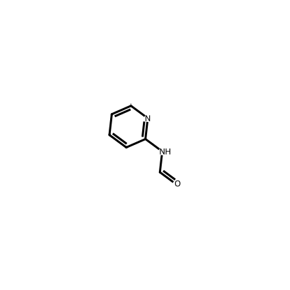 O=CNc1ccc[c]n1